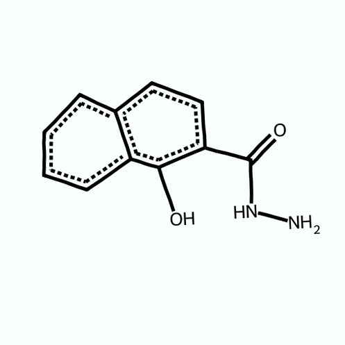 NNC(=O)c1ccc2ccccc2c1O